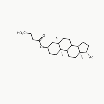 CC(=O)[C@H]1CCC2C3CC[C@]4(C)C[C@H](OC(=O)CCC(=O)O)CC[C@]4(C)C3CC[C@@]21C